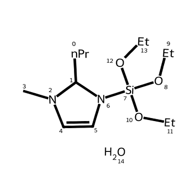 CCCC1N(C)C=CN1[Si](OCC)(OCC)OCC.O